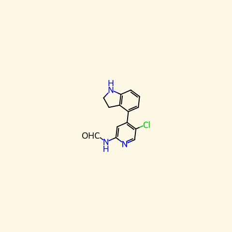 O=CNc1cc(-c2cccc3c2CCN3)c(Cl)cn1